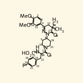 COc1ccc(C2=NN(C3CCN(C(=O)[C@@H](Cc4ccc(F)cc4)NC(=O)O)CC3)C(=O)C(C)(C)C2)cc1OC